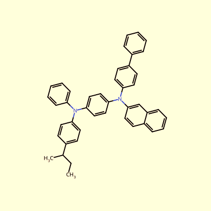 CCC(C)c1ccc(N(c2ccccc2)c2ccc(N(c3ccc(-c4ccccc4)cc3)c3ccc4ccccc4c3)cc2)cc1